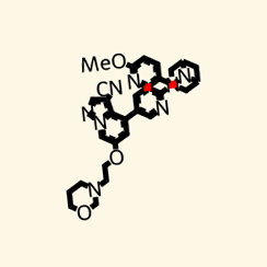 COc1ccc(CN2C3CC2CN(c2ccc(-c4cc(OCCN5CCCOC5)cn5ncc(C#N)c45)cn2)C3)cn1